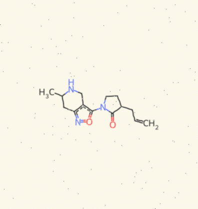 C=CCC1CCN(c2onc3c2CNC(C)C3)C1=O